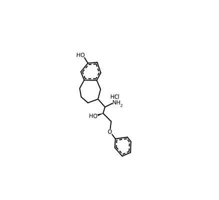 Cl.NC(C1CCCc2cc(O)ccc2C1)[C@H](O)COc1ccccc1